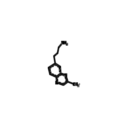 [CH2]c1cnc2ccc(CCCN)cc2n1